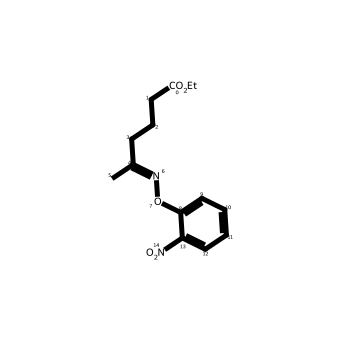 CCOC(=O)CCC/C(C)=N/Oc1ccccc1[N+](=O)[O-]